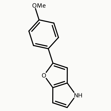 COc1ccc(-c2cc3[nH]ccc3o2)cc1